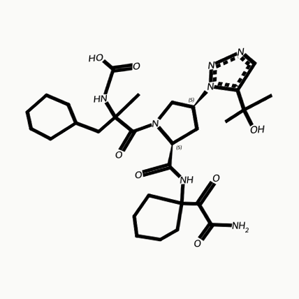 CC(CC1CCCCC1)(NC(=O)O)C(=O)N1C[C@@H](n2nncc2C(C)(C)O)C[C@H]1C(=O)NC1(C(=O)C(N)=O)CCCCC1